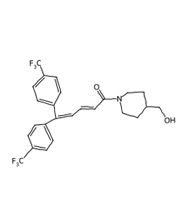 O=C(/C=C/C=C(c1ccc(C(F)(F)F)cc1)c1ccc(C(F)(F)F)cc1)N1CCC(CO)CC1